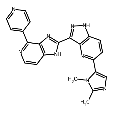 Cc1ncc(-c2ccc3[nH]nc(-c4nc5c(-c6ccncc6)nccc5[nH]4)c3n2)n1C